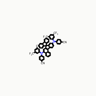 N#Cc1ccc(N(c2cc(C(F)(F)F)cc(C(F)(F)F)c2)c2ccc3c(c2)C2(c4ccccc4-c4ccccc42)c2cc(N(c4ccc(C#N)cc4)c4cc(C(F)(F)F)cc(C(F)(F)F)c4)c4ccccc4c2-3)cc1